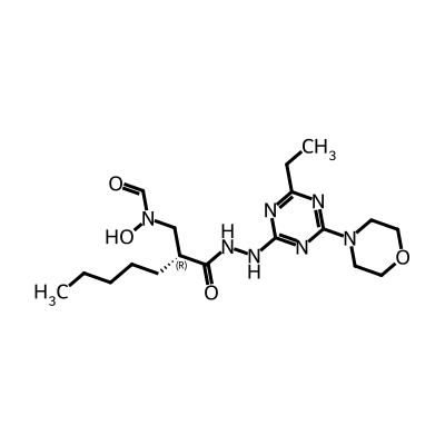 CCCCC[C@H](CN(O)C=O)C(=O)NNc1nc(CC)nc(N2CCOCC2)n1